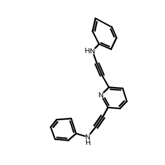 C(#Cc1cccc(C#CNc2ccccc2)n1)Nc1ccccc1